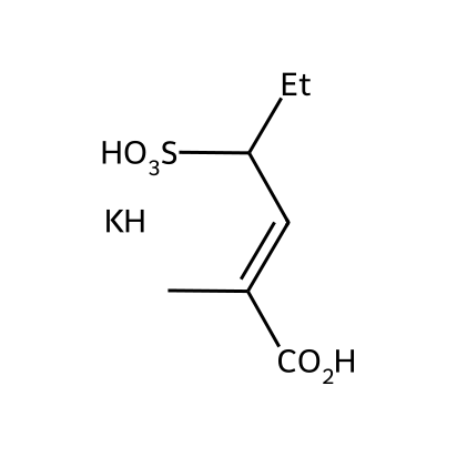 CCC(C=C(C)C(=O)O)S(=O)(=O)O.[KH]